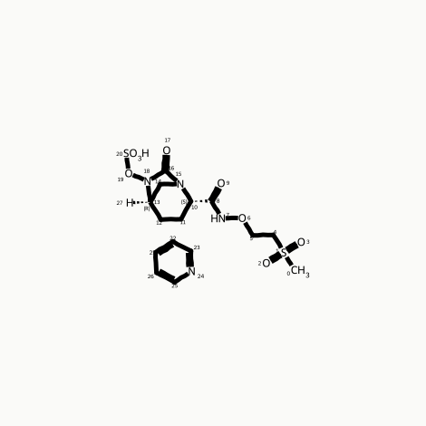 CS(=O)(=O)CCONC(=O)[C@@H]1CC[C@@H]2CN1C(=O)N2OS(=O)(=O)O.c1ccncc1